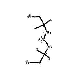 CC(C)CC(C)(C)N[SiH2]NC(C)(C)CC(C)C